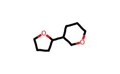 C1COCC(C2CCCO2)C1